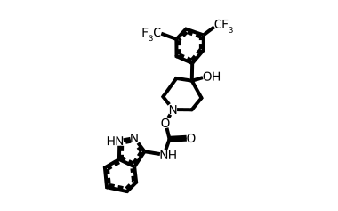 O=C(Nc1n[nH]c2ccccc12)ON1CCC(O)(c2cc(C(F)(F)F)cc(C(F)(F)F)c2)CC1